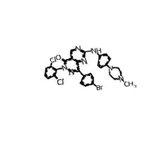 CN1CCN(c2ccc(Nc3ncc4c(=O)n(-c5c(Cl)cccc5Cl)nc(-c5ccc(Br)cc5)c4n3)cc2)CC1